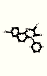 O=c1[nH]c2c3ccc(Br)cc3ccc2n(-c2ccccc2)c1=O